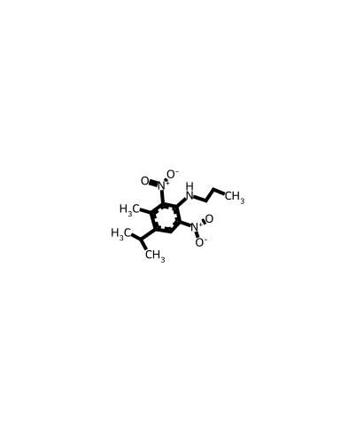 CCCNc1c([N+](=O)[O-])cc(C(C)C)c(C)c1[N+](=O)[O-]